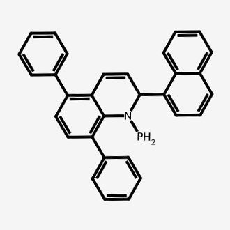 PN1c2c(-c3ccccc3)ccc(-c3ccccc3)c2C=CC1c1cccc2ccccc12